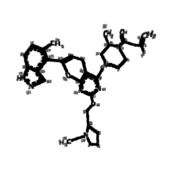 C=C(F)C(=O)N1CCN(c2nc(OCC3CCCN3C)nc3c2CC=C(c2c(C)ccc4[nH]ncc24)O3)C[C@H]1C